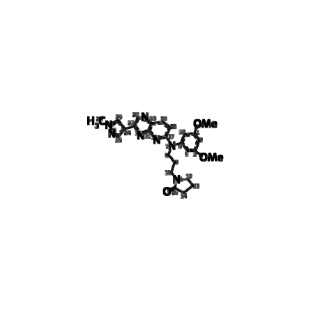 COc1cc(OC)cc(N(CCCN2CCCC2=O)c2ccc3ncc(-c4cnn(C)c4)nc3n2)c1